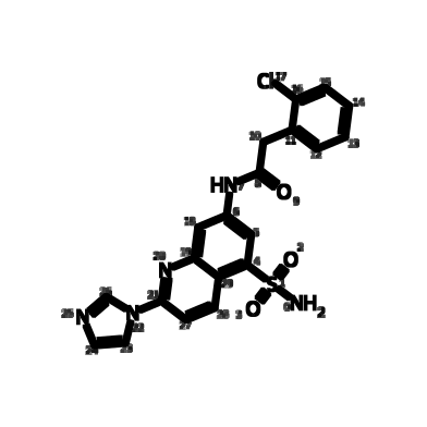 NS(=O)(=O)c1cc(NC(=O)Cc2ccccc2Cl)cc2nc(-n3ccnc3)ccc12